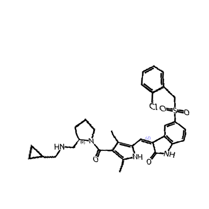 Cc1[nH]c(/C=C2\C(=O)Nc3ccc(S(=O)(=O)Cc4ccccc4Cl)cc32)c(C)c1C(=O)N1CCC[C@@H]1CNCC1CC1